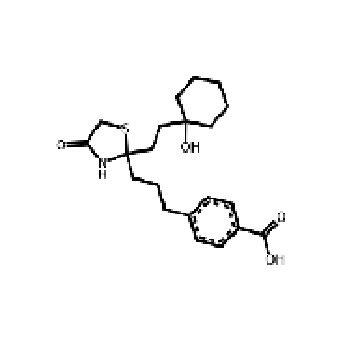 O=C1CSC(CCCc2ccc(C(=O)O)cc2)(CCC2(O)CCCCC2)N1